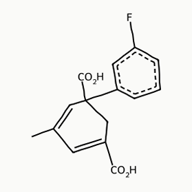 CC1=CC(C(=O)O)(c2cccc(F)c2)CC(C(=O)O)=C1